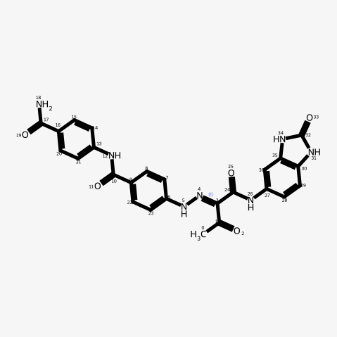 CC(=O)/C(=N\Nc1ccc(C(=O)Nc2ccc(C(N)=O)cc2)cc1)C(=O)Nc1ccc2[nH]c(=O)[nH]c2c1